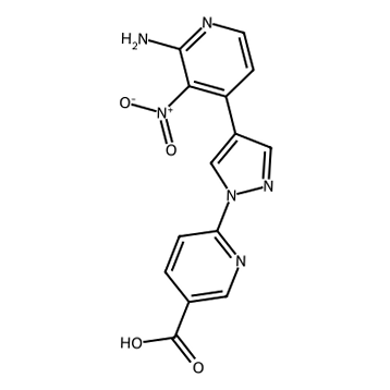 Nc1nccc(-c2cnn(-c3ccc(C(=O)O)cn3)c2)c1[N+](=O)[O-]